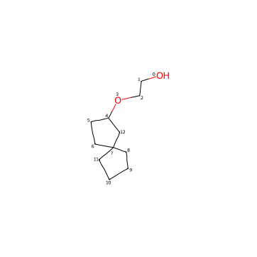 OCCOC1CCC2(CCCC2)C1